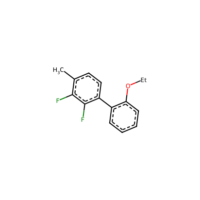 CCOc1ccccc1-c1ccc(C)c(F)c1F